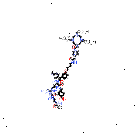 C=C(/C=C\C=C/C)[C@H](C(=O)N[C@H](CCCN/C(N)=N\C(=O)NCCNC(=O)CC)C(=O)NCc1ccc(O)cc1)c1cccc(OCCCCNC(=O)CN2CCN(C(=O)CN3CCN(CC(=O)O)CCN(CC(=O)O)CCN(CC(=O)O)CC3)CC2)c1